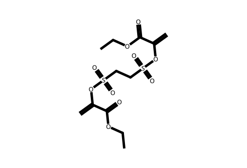 C=C(OS(=O)(=O)CCS(=O)(=O)OC(=C)C(=O)OCC)C(=O)OCC